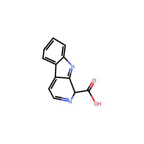 O=C(O)C1N=CC=C2C1=Nc1ccccc12